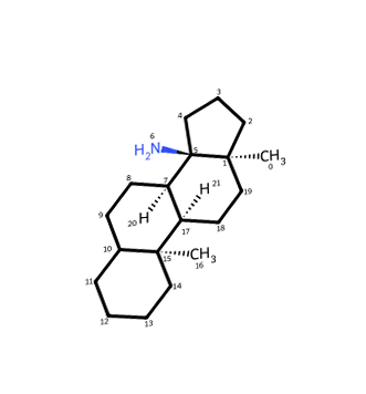 C[C@@]12CCC[C@@]1(N)[C@@H]1CCC3CCCC[C@]3(C)[C@@H]1CC2